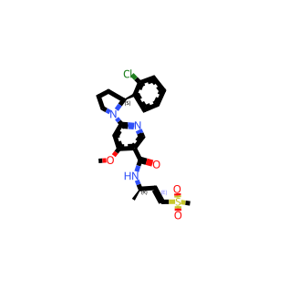 COc1cc(N2CCC[C@H]2c2ccccc2Cl)ncc1C(=O)N[C@H](C)/C=C/S(C)(=O)=O